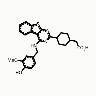 COc1cc(CNc2nc(C3CCC(CC(=O)O)CC3)nc3sc4ccccc4c23)ccc1O